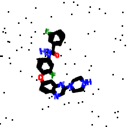 O=C(Nc1ccc(Oc2ccc3ncc(N4CCNCC4)nc3c2)c(F)c1)c1cccc(F)c1